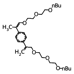 C=C(COCCOCCOCCCC)c1ccc(/C(C)=C\OCCOCCOCCCC)cc1